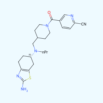 CCCN(CC1CCN(C(=O)c2ccc(C#N)nc2)CC1)[C@H]1CCc2nc(N)sc2C1